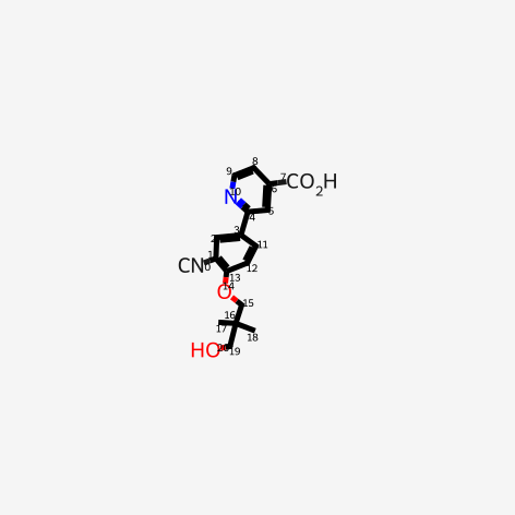 [C-]#[N+]c1cc(-c2cc(C(=O)O)ccn2)ccc1OCC(C)(C)CO